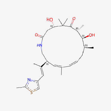 CC1=C[C@@H](C(C)=Cc2csc(C)n2)CNC(=O)C[C@H](O)C(C)(C)C(=O)[C@H](C)[C@@H](O)[C@@H](C)CC=C1